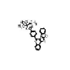 CC1(C)OB(c2ccc(-c3nc4ccccc4c4nc5oc6ccccc6n5c34)cc2)OC1(C)C